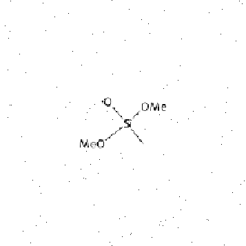 CO[Si](C)([O])OC